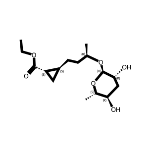 CCOC(=O)[C@H]1C[C@@H]1CC[C@@H](C)O[C@@H]1O[C@@H](C)[C@H](O)C[C@H]1O